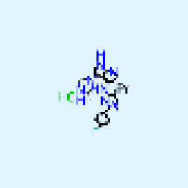 CC(C)c1cnc(-c2ccc(F)cc2)nc1Nc1ccnc2[nH]cc(N3CCN[C@H](C)C3)c12.Cl